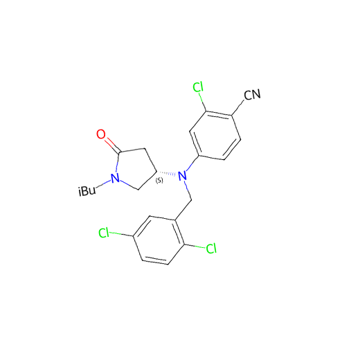 CCC(C)N1C[C@@H](N(Cc2cc(Cl)ccc2Cl)c2ccc(C#N)c(Cl)c2)CC1=O